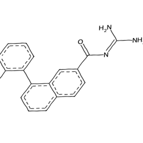 NC(N)=NC(=O)c1ccc2cccc(-c3cccnc3F)c2c1